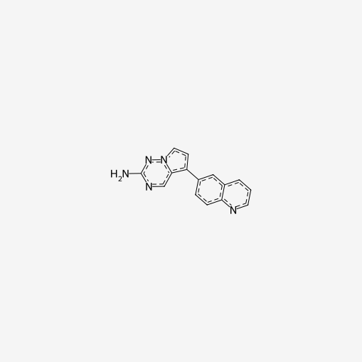 Nc1ncc2c(-c3ccc4ncccc4c3)ccn2n1